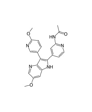 COc1cnc2c(-c3ccc(OC)nc3)c(-c3ccnc(NC(C)=O)c3)[nH]c2c1